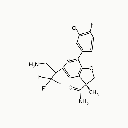 C[C@]1(C(N)=O)COc2c1cc(C(CN)C(F)(F)F)nc2-c1ccc(F)c(Cl)c1